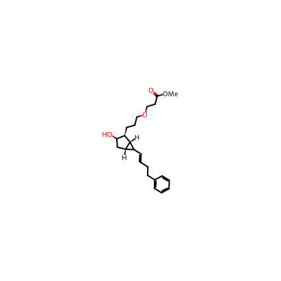 COC(=O)CCOCCC[C@@H]1C(O)C[C@H]2C(C=CCCc3ccccc3)[C@@H]12